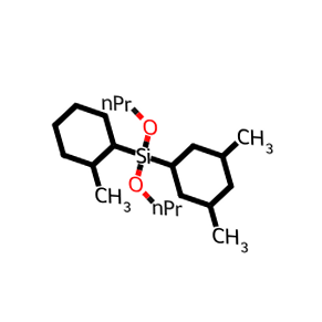 CCCO[Si](OCCC)(C1CC(C)CC(C)C1)C1CCCCC1C